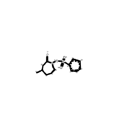 CC1CCCN(OS(=O)(=O)c2ccccc2)C(=O)C1